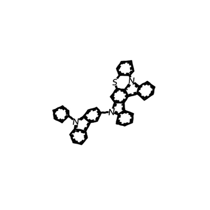 c1ccc(-n2c3ccccc3c3cc(-n4c5ccccc5c5c6c7ccccc7n7c6c(cc54)Sc4ccccc4-7)ccc32)cc1